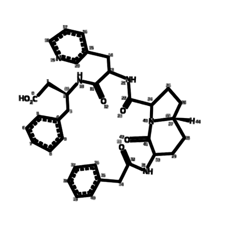 O=C(O)C[C@H](Cc1ccccc1)NC(=O)C(Cc1cccnc1)NC(=O)C1CC[C@@H]2CCC(NC(=O)Cc3ccccc3)C(=O)N12